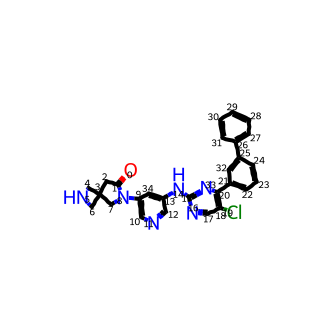 O=C1CC2(CNC2)CN1c1cncc(Nc2ncc(Cl)c(-c3cccc(-c4ccccc4)c3)n2)c1